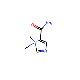 C[N+]1(C)C=NC=C1C(N)=O